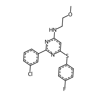 COCCNc1cc(Sc2ccc(F)cc2)nc(-c2cccc(Cl)c2)n1